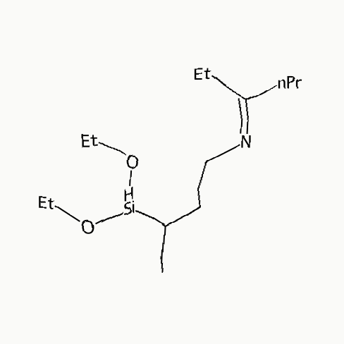 CCCC(CC)=NCCC(C)[SiH](OCC)OCC